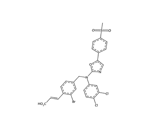 CS(=O)(=O)c1ccc(-c2cnc(N(Cc3ccc(C=CC(=O)O)c(Br)c3)c3ccc(Cl)c(Cl)c3)o2)cc1